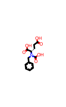 O=C(O)CC[C@@H](C(=O)O)N(Cc1ccccc1)C(=O)O